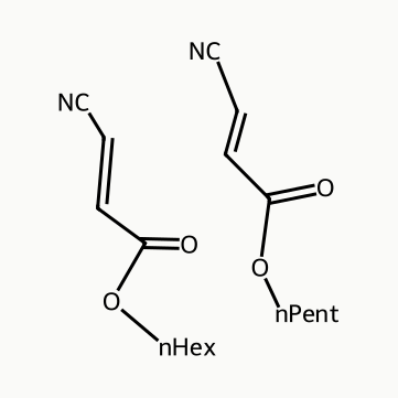 CCCCCCOC(=O)C=CC#N.CCCCCOC(=O)C=CC#N